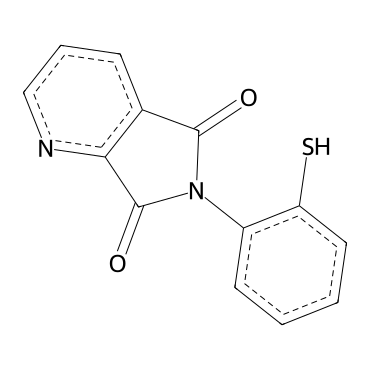 O=C1c2cccnc2C(=O)N1c1ccccc1S